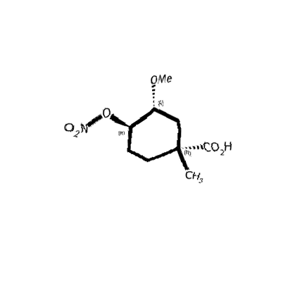 CO[C@@H]1C[C@](C)(C(=O)O)CC[C@H]1O[N+](=O)[O-]